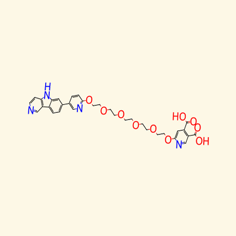 O=C(O)c1cnc(OCCOCCOCCOCCOCCOc2ccc(-c3ccc4c(c3)[nH]c3ccncc34)cn2)cc1C(=O)O